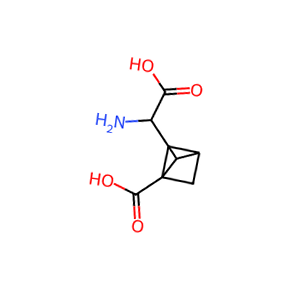 NC(C(=O)O)C1C2CC1(C(=O)O)C2